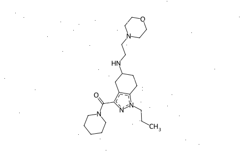 CCCn1nc(C(=O)N2CCCCC2)c2c1CCC(NCCN1CCOCC1)C2